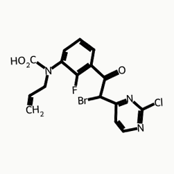 C=CCN(C(=O)O)c1cccc(C(=O)C(Br)c2ccnc(Cl)n2)c1F